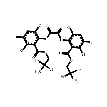 CCC(C)(COC(=O)c1c(Cl)c(Cl)cc(Cl)c1OC(=O)C(=O)Oc1c(Cl)cc(Cl)c(Cl)c1C(=O)OCC(C)(CC)C(C)C)C(C)C